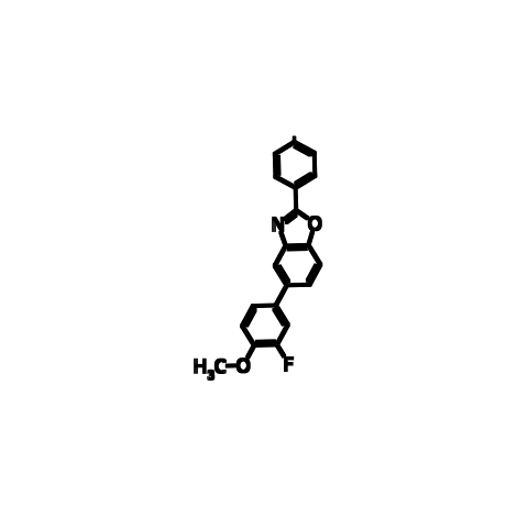 COc1ccc(-c2ccc3oc(-c4cc[c]cc4)nc3c2)cc1F